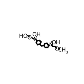 CCOCCN(CO)c1ccc(Cc2ccc(N(CO)CCOCO)cc2)cc1